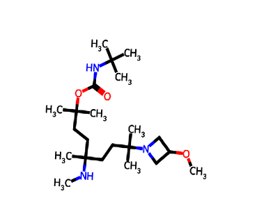 CNC(C)(CCC(C)(C)OC(=O)NC(C)(C)C)CCC(C)(C)N1CC(OC)C1